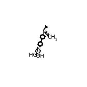 CN1SN(CC2CC2)c2ccc(-c3ccc(N4CCS(O)(O)CC4)cc3)cc21